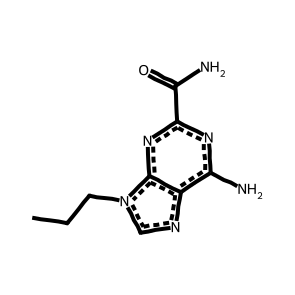 CCCn1cnc2c(N)nc(C(N)=O)nc21